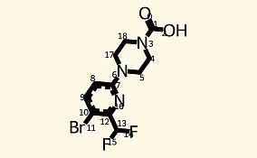 O=C(O)N1CCN(c2ccc(Br)c(C(F)F)n2)CC1